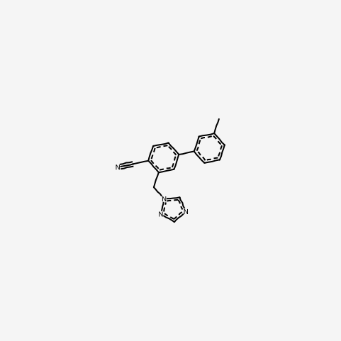 Cc1cccc(-c2ccc(C#N)c(Cn3cncn3)c2)c1